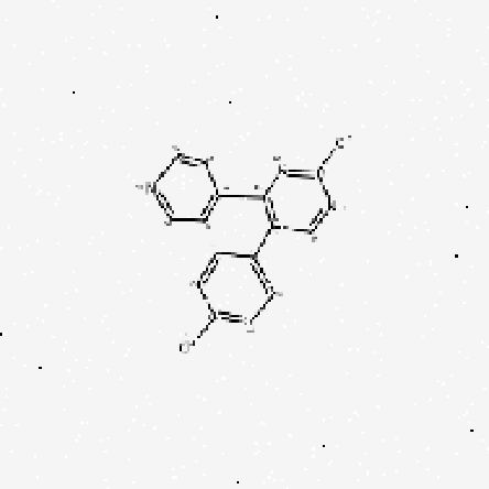 Clc1ccc(-c2cnc(Cl)nc2-c2ccncc2)cc1